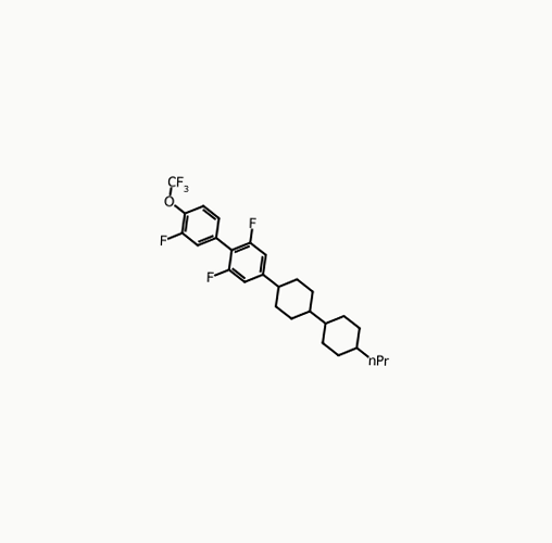 CCCC1CCC(C2CCC(c3cc(F)c(-c4ccc(OC(F)(F)F)c(F)c4)c(F)c3)CC2)CC1